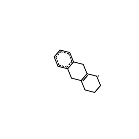 [C]1CCCC2=C1Cc1ccccc1C2